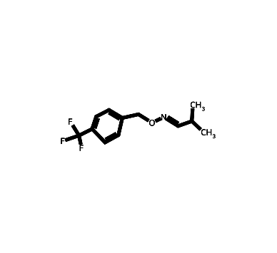 CC(C)C=NOCc1ccc(C(F)(F)F)cc1